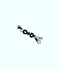 CC(C)(c1ccc(OCC2CO2)cc1)c1ccc(OC[C@H](O)CCl)cc1